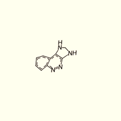 c1ccc2c3c(nnc2c1)NCN3